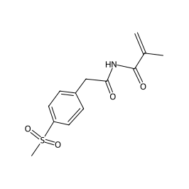 C=C(C)C(=O)NC(=O)Cc1ccc(S(C)(=O)=O)cc1